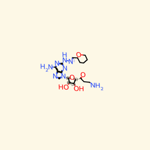 NCCC(=O)[C@H]1O[C@@H](n2cnc3c(N)nc(N/N=C/C4CCCCO4)nc32)[C@H](O)[C@@H]1O